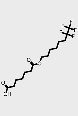 O=C(O)CCCCCC(=O)OCCCCCCC(F)(F)C(F)(F)F